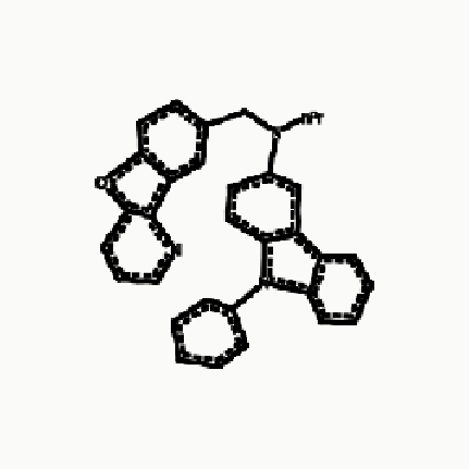 CCCN(Cc1ccc2oc3cccnc3c2c1)c1ccc2c(c1)c1ccccc1n2-c1ccccc1